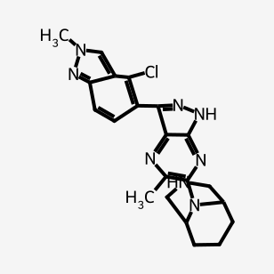 Cc1nc2c(-c3ccc4nn(C)cc4c3Cl)n[nH]c2nc1N1C2CCCC1CNC2